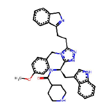 COc1ccc(Cn2c(CCC3=NCc4ccccc43)nnc2[C@@H](Cc2c[nH]c3ccccc23)NC(=O)C2CCNCC2)cc1